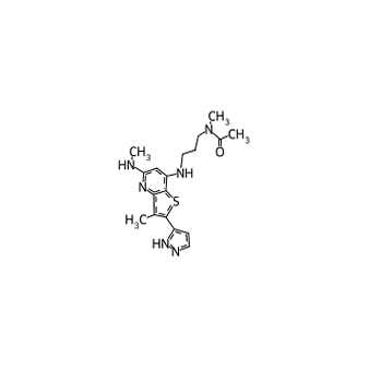 CNc1cc(NCCCN(C)C(C)=O)c2sc(-c3ccn[nH]3)c(C)c2n1